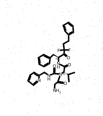 CC(C)[C@@H](C(=O)N[C@@H](Cc1ccccc1)C(=O)C(F)(F)CCc1ccccc1)N(C(=O)CN)C(=O)NCc1ccccn1